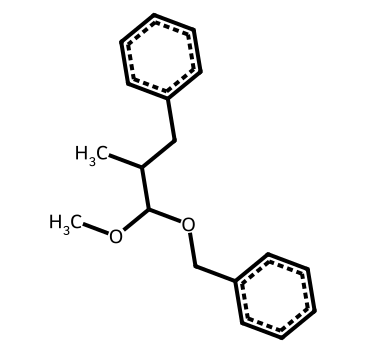 COC(OCc1ccccc1)C(C)Cc1ccccc1